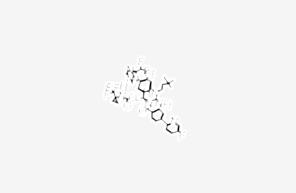 CC(C)(C)CCNC(=N)N(C(=O)c1ccc(-c2ccc(F)cn2)cc1)[C@H](COC(=O)NC1(C(F)(F)F)CC1)c1ccc(Cl)c(-n2ncnc2C(F)F)c1